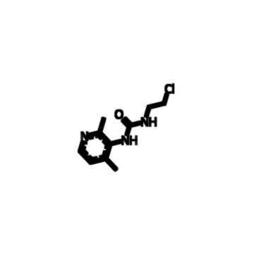 Cc1ccnc(C)c1NC(=O)NCCCl